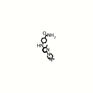 Cc1nc(N2CC[Si](C)(C)CC2)ccc1NC1CCC(C(N)=O)CC1